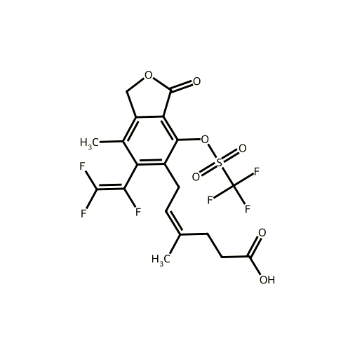 CC(=CCc1c(OS(=O)(=O)C(F)(F)F)c2c(c(C)c1C(F)=C(F)F)COC2=O)CCC(=O)O